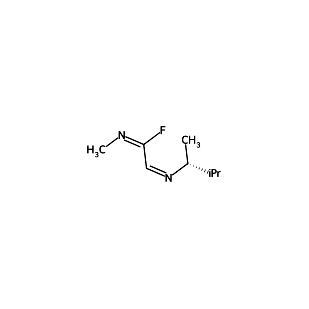 C/N=C(F)\C=N/[C@H](C)C(C)C